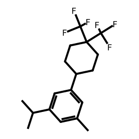 Cc1cc(C(C)C)cc(C2CCC(C(F)(F)F)(C(F)(F)F)CC2)c1